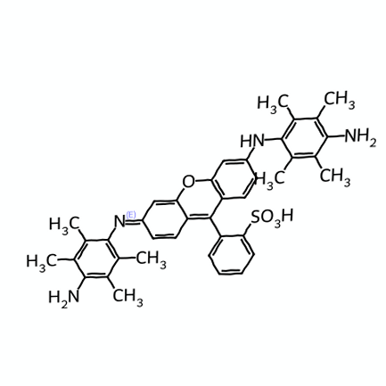 Cc1c(C)c(/N=c2\ccc3c(-c4ccccc4S(=O)(=O)O)c4ccc(Nc5c(C)c(C)c(N)c(C)c5C)cc4oc-3c2)c(C)c(C)c1N